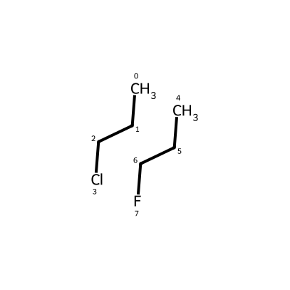 CCCCl.CCCF